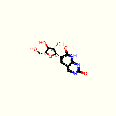 O=c1ncc2cc([C@@H]3O[C@H](CO)C(O)[C@@H]3O)c(=O)[nH]c2[nH]1